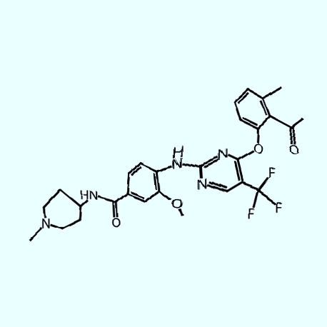 COc1cc(C(=O)NC2CCN(C)CC2)ccc1Nc1ncc(C(F)(F)F)c(Oc2cccc(C)c2C(C)=O)n1